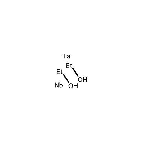 CCO.CCO.[Nb].[Ta]